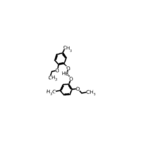 CCOc1ccc(C)cc1OBOc1cc(C)ccc1OCC